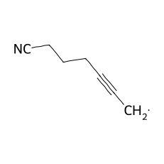 [CH2]C#CCCCC#N